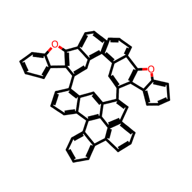 c1ccc(-c2ccccc2-c2c3cccc(-c4cc5ccccc5c5oc6ccccc6c45)c3cc3c(-c4cc5ccccc5c5oc6ccccc6c45)cccc23)cc1